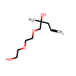 C=CCC(C)(O)COCCOCCO